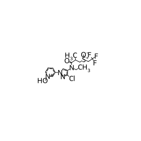 CCN(C(=O)C(C)C[S+]([O-])CC(F)(F)F)c1cn(-c2ccc[n+](O)c2)nc1Cl